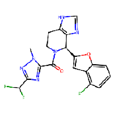 Cn1nc(C(F)F)nc1C(=O)N1CCc2[nH]cnc2[C@H]1c1cc2c(F)cccc2o1